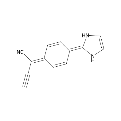 C#CC(C#N)=c1ccc(=C2NC=CN2)cc1